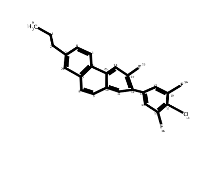 CCCc1ccc2c(ccc3cc(-c4cc(F)c(Cl)c(F)c4)c(F)cc32)c1